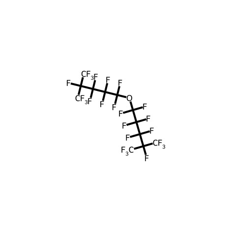 FC(F)(F)C(F)(C(F)(F)F)C(F)(F)C(F)(F)C(F)(F)OC(F)(F)C(F)(F)C(F)(F)C(F)(C(F)(F)F)C(F)(F)F